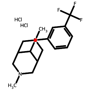 CN1CC2CN(C)CC(C1)C2Oc1cccc(C(F)(F)F)c1.Cl.Cl